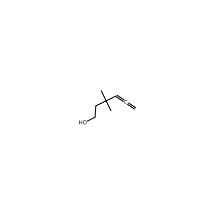 C=C=CC(C)(C)CCO